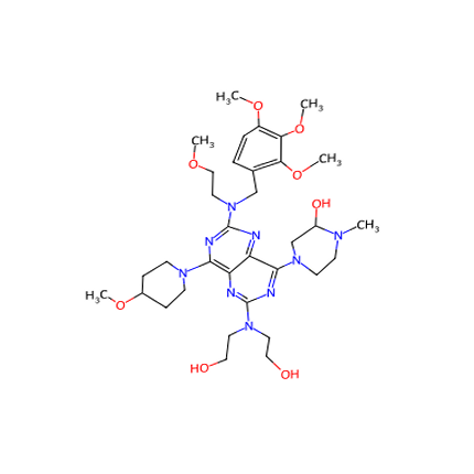 COCCN(Cc1ccc(OC)c(OC)c1OC)c1nc(N2CCC(OC)CC2)c2nc(N(CCO)CCO)nc(N3CCN(C)C(O)C3)c2n1